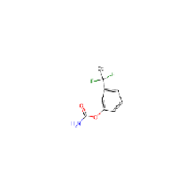 CCC(F)(F)c1cccc(OC(N)=O)c1